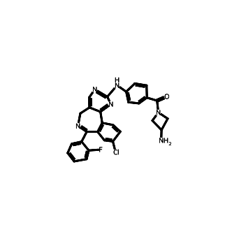 NC1CN(C(=O)c2ccc(Nc3ncc4c(n3)-c3ccc(Cl)cc3C(c3ccccc3F)=NC4)cc2)C1